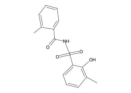 Cc1ccccc1C(=O)NS(=O)(=O)c1cccc(C)c1O